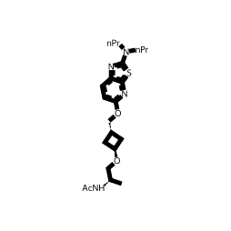 CCCN(CCC)c1nc2ccc(OC[C@H]3C[C@H](OC[C@H](C)NC(C)=O)C3)nc2s1